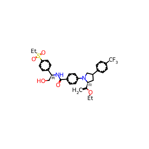 C=C(OCC)[C@@H]1CC(c2ccc(C(F)(F)F)cc2)CN1c1ccc(C(=O)N[C@@H](CO)c2ccc(S(=O)(=O)CC)cc2)cc1